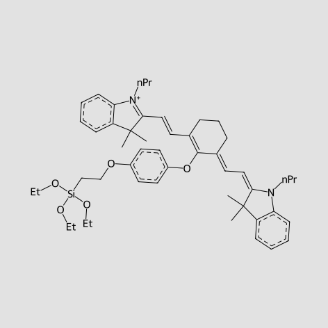 CCCN1/C(=C/C=C2\CCCC(/C=C/C3=[N+](CCC)c4ccccc4C3(C)C)=C2Oc2ccc(OCC[Si](OCC)(OCC)OCC)cc2)C(C)(C)c2ccccc21